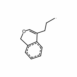 [CH2]CCC1=COCc2ccccc21